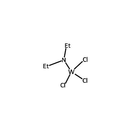 CC[N](CC)[W]([Cl])([Cl])[Cl]